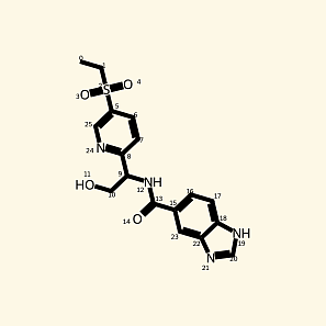 CCS(=O)(=O)c1ccc(C(CO)NC(=O)c2ccc3[nH]cnc3c2)nc1